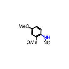 COc1ccc(NN=O)c(OC)c1